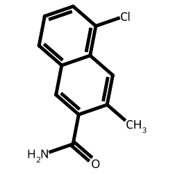 Cc1cc2c(Cl)cccc2cc1C(N)=O